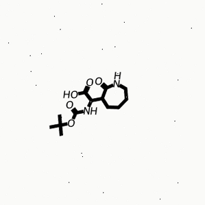 CC(C)(C)OC(=O)NC(C(=O)O)C1CCCCNC1=O